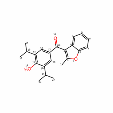 Cc1oc2ccccc2c1C(=O)c1cc(C(C)C)c(O)c(C(C)C)c1